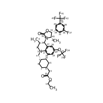 CCCN(C[C@H]1CC[C@H](CC(=O)OCC)CC1)c1ccc(OC(F)(F)F)cc1CN1C(=O)O[C@H](c2cc(F)cc(C(F)(F)F)c2)[C@@H]1C